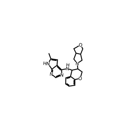 Cc1cc2c(NC3c4ccccc4OCC3N3CC4COCC4C3)ncnc2[nH]1